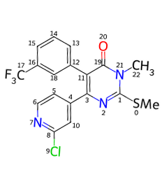 CSc1nc(-c2ccnc(Cl)c2)c(-c2cccc(C(F)(F)F)c2)c(=O)n1C